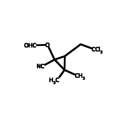 CC1(C)C(CC(Cl)(Cl)Cl)C1(C#N)OC=O